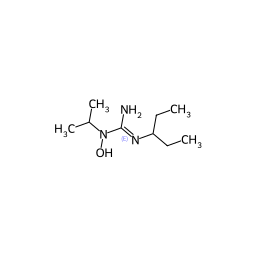 CCC(CC)/N=C(\N)N(O)C(C)C